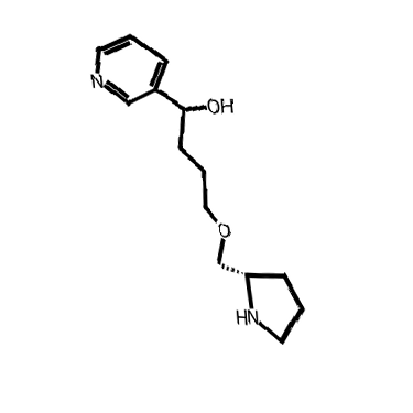 OC(CCCOC[C@@H]1CCCN1)c1cccnc1